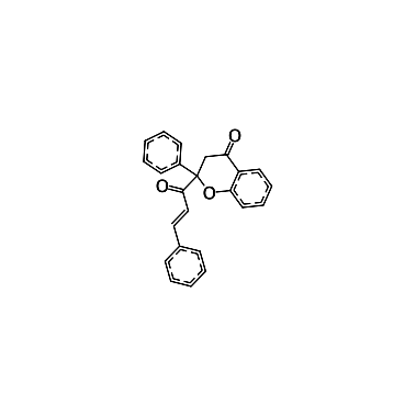 O=C1CC(C(=O)C=Cc2ccccc2)(c2ccccc2)Oc2ccccc21